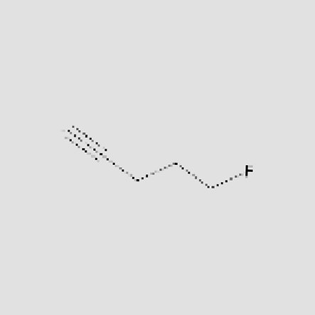 [C]#CCCCF